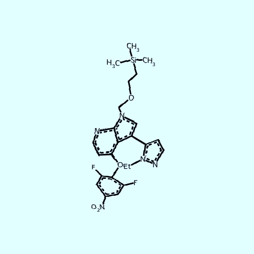 CCn1nccc1-c1cn(COCC[Si](C)(C)C)c2nccc(Oc3c(F)cc([N+](=O)[O-])cc3F)c12